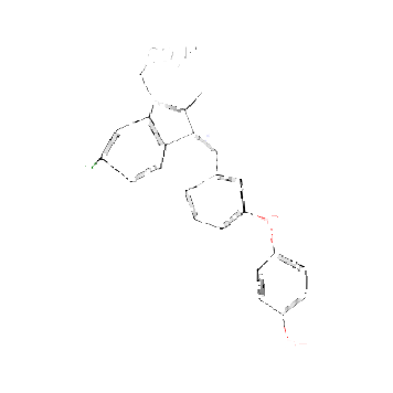 CC1=C(CC(=O)O)c2cc(F)ccc2/C1=C\c1cccc(Oc2ccc(O)cc2)c1